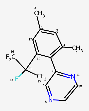 Cc1[c]c(C)c(-c2cnccn2)c(C(F)(C(F)(F)F)C(F)(F)F)c1